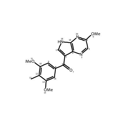 COc1cnc2c(C(=O)c3cc(OC)c(C)c(OC)c3)c[nH]c2n1